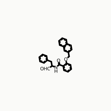 O=CC(Cc1ccccc1)NC(=O)c1ccccc1OCc1ccc2ccccc2c1